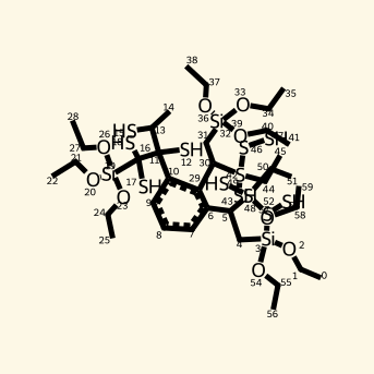 CCO[Si](CC(c1cccc(C(S)(C(C)S)C(S)(S)[Si](OCC)(OCC)OCC)c1C(C[Si](OCC)(OCC)OCC)S(S)(CC)SS)S(S)(CC)SS)(OCC)OCC